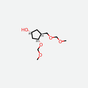 COCOC[C@@H]1C[C@@H](O)C[C@H]1OCOC